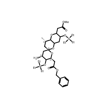 CC[Si](CC)(CC)OC1CC2O[C@@]3(C[C@H](C)C2OC1CC(=O)OC)C[C@H](N)C(O[Si](CC)(CC)CC)[C@H](CC(=O)OCc1ccccc1)O3